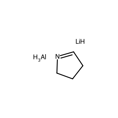 C1=NCCC1.[AlH3].[LiH]